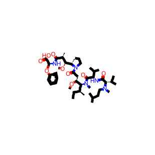 CC[C@H](C)[C@@H]([C@@H](CC(=O)N1CCC[C@H]1[C@H](OC)[C@@H](C)C(=O)N[C@@H](Oc1ccccc1)C(=O)O)OC)N(C)C(=O)[C@@H](NC(=O)[C@H](C(C)C)N(C)CCC(C)C)C(C)C